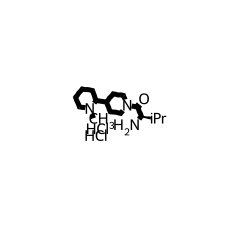 CC(C)[C@@H](N)C(=O)N1CCC(C2CCCCN2C)CC1.Cl.Cl